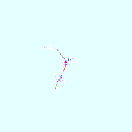 CC(=O)CSCCC(=O)NCC(=O)NCCOCCOCC(=O)N[C@@H](CCN)C(=O)NCCCCCCCCCCC(=O)O